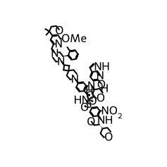 COc1nc(CN2CCN(C3CC4(CCN(c5ccc(C(=O)NS(=O)(=O)c6cc7c(c([N+](=O)[O-])c6)N[C@H](C6CCOCC6)CO7)c(N6c7cc8cc[nH]c8nc7O[C@H]7COCC[C@@H]76)c5)CC4)C3)[C@H](c3ccccc3C)C2)cc2c1OCCC2(C)C